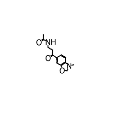 CC(=O)NCCC(=O)c1ccc2c(c1)OCN2C